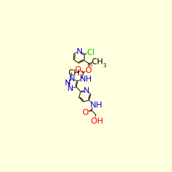 C[C@@H](OC(=O)Nc1c(-c2ccc(NC(=O)CO)cn2)nnn1C)c1cccnc1Cl